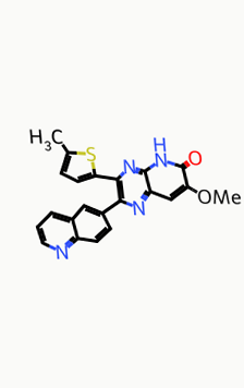 COc1cc2nc(-c3ccc4ncccc4c3)c(-c3ccc(C)s3)nc2[nH]c1=O